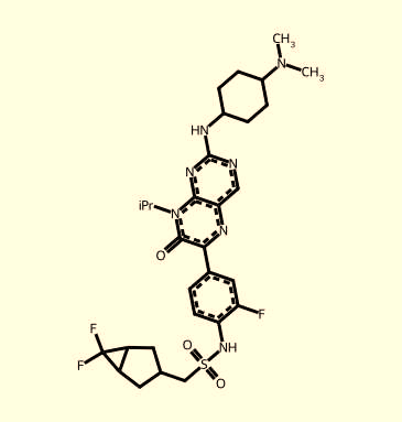 CC(C)n1c(=O)c(-c2ccc(NS(=O)(=O)CC3CC4C(C3)C4(F)F)c(F)c2)nc2cnc(NC3CCC(N(C)C)CC3)nc21